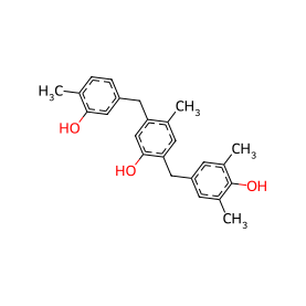 Cc1ccc(Cc2cc(O)c(Cc3cc(C)c(O)c(C)c3)cc2C)cc1O